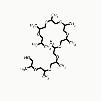 CC(O)COC(C)COC(C)COC(C)COC(C)COC(C)COC(C)COC(C)COC(C)CO